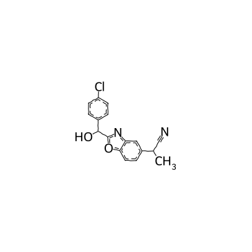 CC(C#N)c1ccc2oc(C(O)c3ccc(Cl)cc3)nc2c1